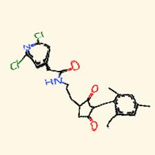 Cc1cc(C)c(C2C(=O)CC(CCNC(=O)c3cc(Cl)nc(Cl)c3)C2=O)c(C)c1